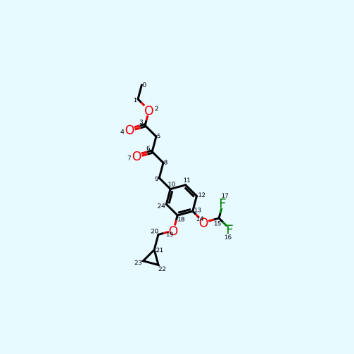 CCOC(=O)CC(=O)CCc1ccc(OC(F)F)c(OCC2CC2)c1